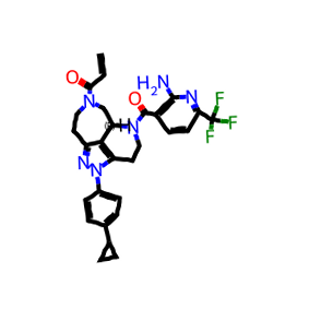 C=CC(=O)N1CCc2nn(-c3ccc(C4CC4)cc3)c3c2[C@H](C1)N(C(=O)c1ccc(C(F)(F)F)nc1N)CC3